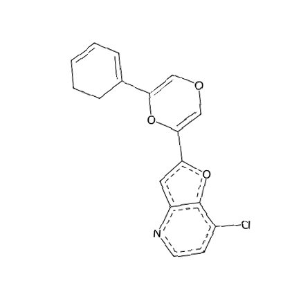 Clc1ccnc2cc(C3=COC=C(C4=CC=CCC4)O3)oc12